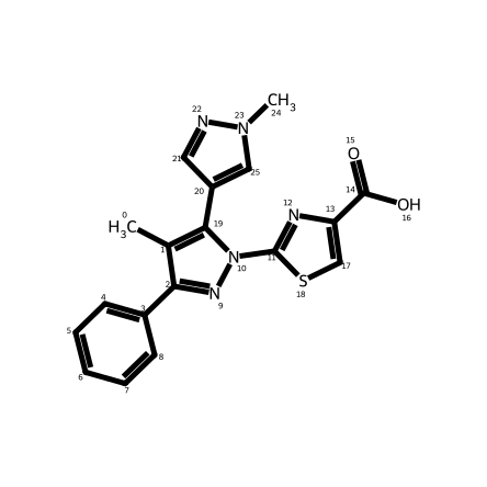 Cc1c(-c2ccccc2)nn(-c2nc(C(=O)O)cs2)c1-c1cnn(C)c1